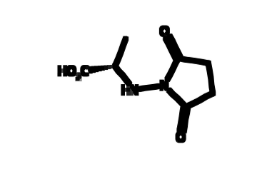 C[C@H](NN1C(=O)CCC1=O)C(=O)O